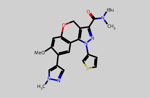 COc1cc2c(cc1-c1cnn(C)c1)-c1c(c(C(=O)N(C)C(C)(C)C)nn1-c1ccsc1)CO2